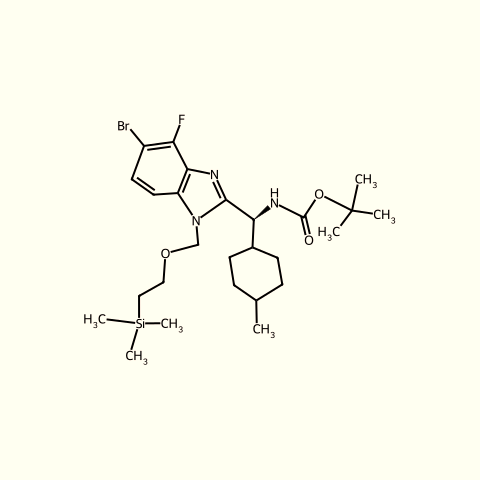 CC1CCC([C@H](NC(=O)OC(C)(C)C)c2nc3c(F)c(Br)ccc3n2COCC[Si](C)(C)C)CC1